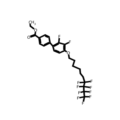 CCOC(=O)c1ccc(-c2ccc(OCCCCCCC(F)(F)C(F)(F)C(F)(F)C(F)(F)F)c(F)c2F)cc1